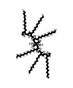 CCCCCCCCCCCCc1ccsc1-c1cc(CCCCCCCCCCCC)c(-c2nc(CCCCCCCCCCCC)c(C3=C4C(=O)NC(c5sc(-c6sc(-c7sccc7CCCCCCCCCCCC)cc6CCCCCCCCCCCC)nc5CCCCCCCCCCCC)=C4C(=O)N3)s2)s1